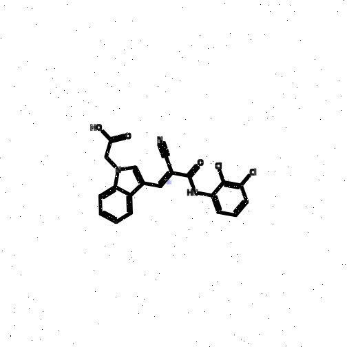 N#C/C(=C\c1cn(CC(=O)O)c2ccccc12)C(=O)Nc1cccc(Cl)c1Cl